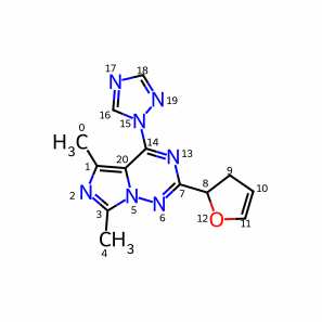 Cc1nc(C)n2nc(C3CC=CO3)nc(-n3cncn3)c12